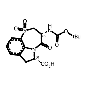 CC(C)(C)OC(=O)N[C@H]1CS(=O)(=O)c2cccc3c2N(C1=O)[C@H](C(=O)O)C3